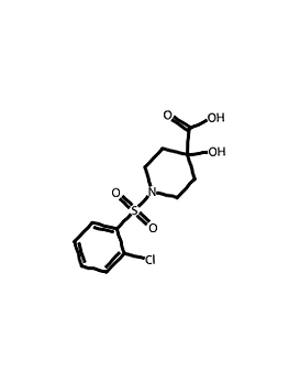 O=C(O)C1(O)CCN(S(=O)(=O)c2ccccc2Cl)CC1